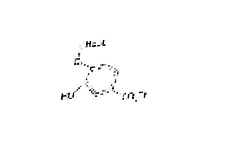 CCCCCCCOc1ccc(C(=O)OCC)cc1O